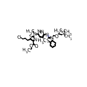 CCOC(=O)c1nc(N(C)c2cc(C)c(/N=c3\sc4ccccc4n3COCC[Si](C)(C)C)nn2)sc1CCCCl